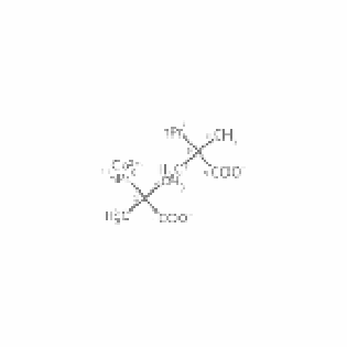 CCCC(C)(C)C(=O)[O-].CCCC(C)(C)C(=O)[O-].[Co+2]